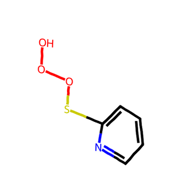 OOOSc1ccccn1